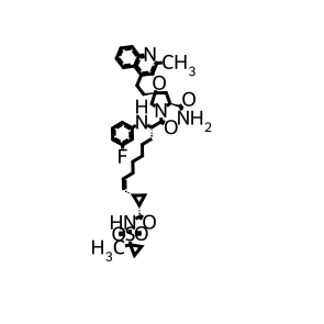 Cc1nc2ccccc2c2c1O[C@]1(CC2)C[C@@H](C(N)=O)N(C(=O)[C@H](CCCCC/C=C\[C@@H]2C[C@@H]2C(=O)NS(=O)(=O)C2(C)CC2)Nc2cccc(F)c2)C1